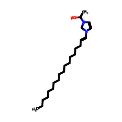 CCCCCCCCCCCCCCCCC=CN1C=CN(C(C)O)C1